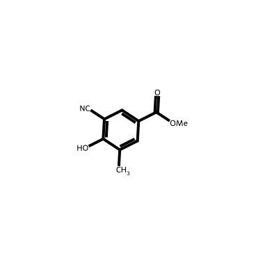 COC(=O)c1cc(C)c(O)c(C#N)c1